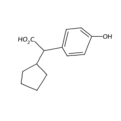 O=C(O)C(c1ccc(O)cc1)C1CCCC1